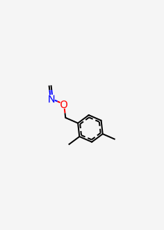 C=NOCc1ccc(C)cc1C